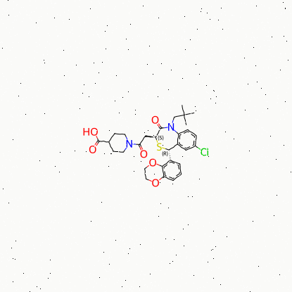 CC(C)(C)CN1C(=O)[C@H](CC(=O)N2CCC(C(=O)O)CC2)S[C@@H](c2cccc3c2OCCO3)c2cc(Cl)ccc21